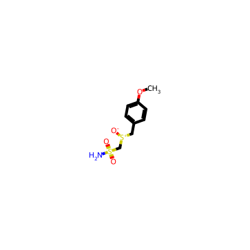 COc1ccc(C[S+]([O-])CS(N)(=O)=O)cc1